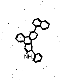 NC1=Cc2c(c3c(c4ccccc24)C=C(C2=c4ccccc4=CCC2)CC3)CC1c1ccccc1